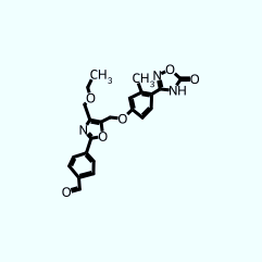 CCOCc1nc(-c2ccc(C=O)cc2)oc1COc1ccc(-c2noc(=O)[nH]2)c(C)c1